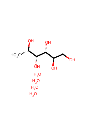 O.O.O.O.O=C(O)[C@H](O)[C@@H](O)[C@H](O)[C@H](O)CO